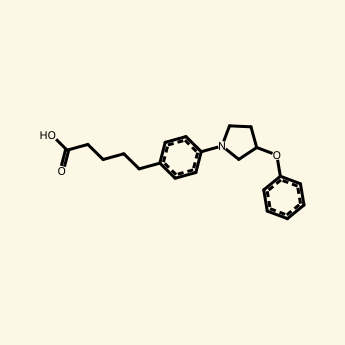 O=C(O)CCCCc1ccc(N2CCC(Oc3ccccc3)C2)cc1